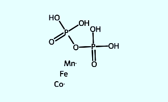 O=P(O)(O)OP(=O)(O)O.[Co].[Fe].[Mn]